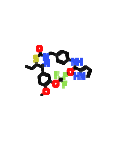 CCC1SC(=O)N(Cc2ccc(NC(=O)c3ccc[nH]3)cc2)N=C1c1ccc(OC)c(OC(F)(F)F)c1